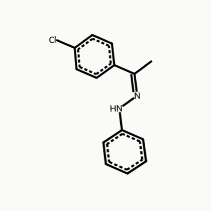 CC(=NNc1ccccc1)c1ccc(Cl)cc1